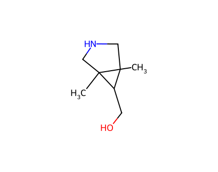 CC12CNCC1(C)C2CO